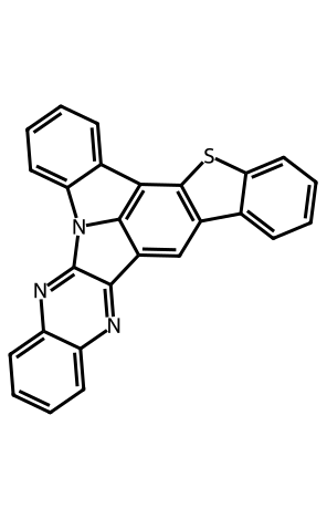 c1ccc2nc3c(nc2c1)c1cc2c4ccccc4sc2c2c4ccccc4n3c12